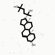 CC(C)(O)CCC(C)(O)[C@H]1CCC2C3CC=C4C[C@@H](O)CC[C@]4(C)C3CC[C@@]21C